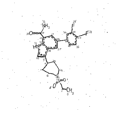 CCS(=O)(=O)N1CCC(c2c[nH]c3c(C(N)=O)cc(-c4ccc(F)c(F)c4)cc23)CC1